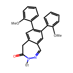 CCN1N=Cc2cc(-c3ccccc3OC)c(-c3ccccc3OC)cc2CC1=O